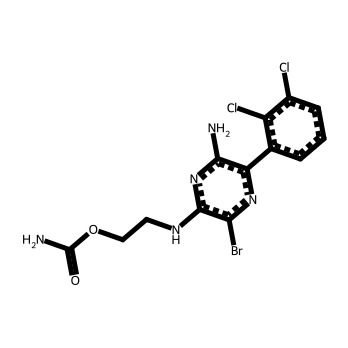 NC(=O)OCCNc1nc(N)c(-c2cccc(Cl)c2Cl)nc1Br